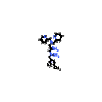 C=C/C=C\C(=C/C)CN(N)/C=C(\N)CN(Cc1ccccn1)Cc1ccccn1